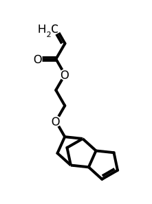 C=CC(=O)OCCOC1CC2CC1C1CC=CC21